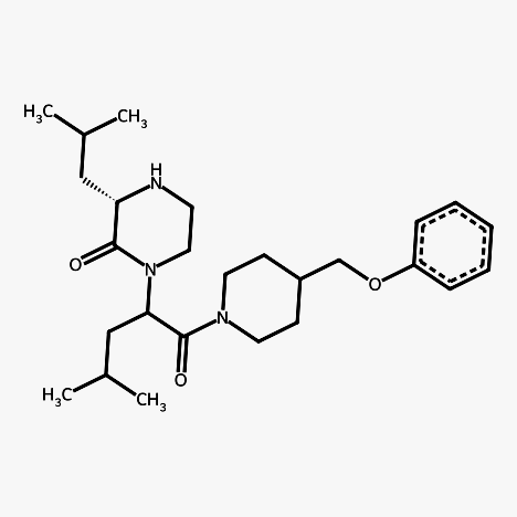 CC(C)CC(C(=O)N1CCC(COc2ccccc2)CC1)N1CCN[C@@H](CC(C)C)C1=O